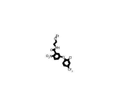 CCOCCNC(=O)c1cc(Oc2ccc(C(F)(F)F)cc2Cl)ccc1[N+](=O)[O-]